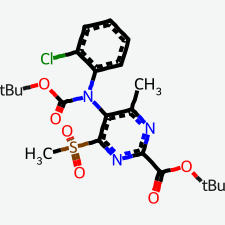 Cc1nc(C(=O)OC(C)(C)C)nc(S(C)(=O)=O)c1N(C(=O)OC(C)(C)C)c1ccccc1Cl